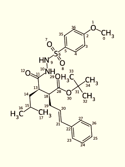 COc1ccc(S(=O)(=O)NNC(=O)[C@H](CC(C)C)[C@H](CC=Cc2ccccc2)C(=O)OC(C)(C)C)cc1